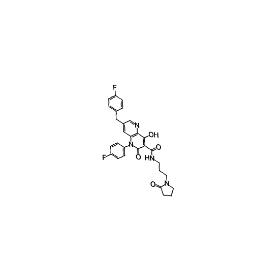 O=C(NCCCN1CCCC1=O)c1c(O)c2ncc(Cc3ccc(F)cc3)cc2n(-c2ccc(F)cc2)c1=O